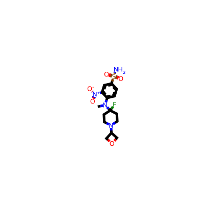 CN(c1ccc(S(N)(=O)=O)cc1[N+](=O)[O-])C1(F)CCN(C2COC2)CC1